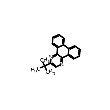 CC(C)(C)c1cnc2c3ccccc3c3ccccc3c2n1